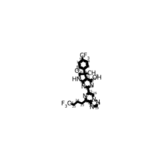 CC1(c2ccc(C(F)(F)F)cc2)C(=O)Nc2nc(-c3cn4ncnc4c(CCCC(F)(F)F)n3)nc(O)c21